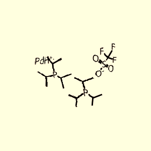 CC(C)P(C(C)C)C(C)C.CC(C)P(C(C)C)C(C)C.O=S(=O)([O-])C(F)(F)F.[PdH+]